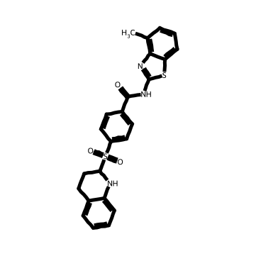 Cc1cccc2sc(NC(=O)c3ccc(S(=O)(=O)C4CCc5ccccc5N4)cc3)nc12